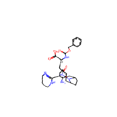 Nc1c(C2=NCCCN2)cccc1N1C2CCC1CC(NC(=O)C[C@H](NC(=O)OCc1ccccc1)C(=O)O)C2